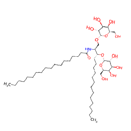 CCCCCCCCCCCCCCCCCC(=O)N[C@@H](CO[C@H]1O[C@H](CO)[C@H](O)[C@H](O)[C@H]1O)[C@@H](CCCCCCCCCCCCCC)O[C@H]1O[C@H](CO)[C@H](O)[C@H](O)[C@H]1O